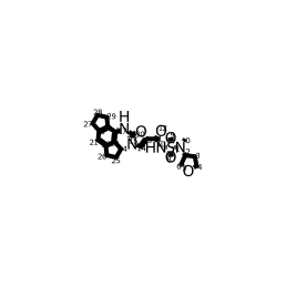 CN(C1CCOC1)S(=O)(=O)NC(=O)c1cnc(Nc2c3c(cc4c2CCC4)CCC3)o1